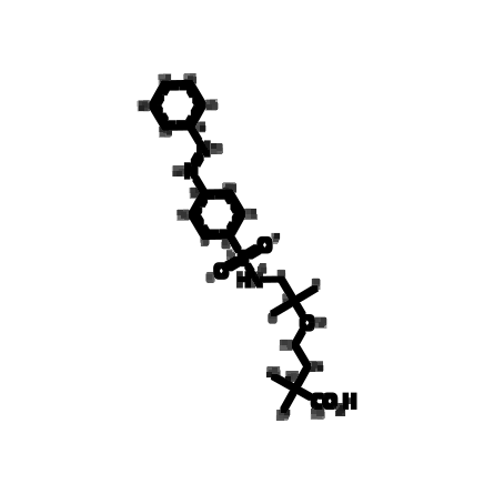 CC(C)(CNS(=O)(=O)c1ccc(/N=N/c2ccccc2)cc1)OCCC(C)(C)C(=O)O